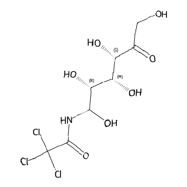 O=C(CO)[C@@H](O)[C@H](O)[C@@H](O)C(O)NC(=O)C(Cl)(Cl)Cl